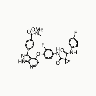 CON(C)C(=O)c1ccc(-c2n[nH]c3nccc(Oc4ccc(NC(=O)C5(C(=O)Nc6ccc(F)cc6)CC5)cc4F)c23)cc1